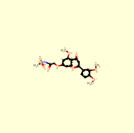 COc1ccc(-c2cc(=O)c3c(OC)cc(OCC(=O)NS(C)(=O)=O)cc3o2)cc1OC